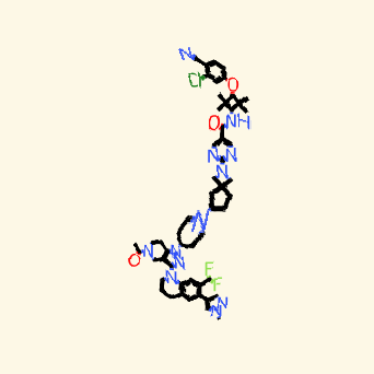 CC(=O)N1CCc2c(c(N3CCCc4cc(-c5cnn(C)c5)c(C(F)F)cc43)nn2C2CCN(C3CCC4(C3)CN(c3ncc(C(=O)NC5C(C)(C)C(Oc6ccc(C#N)c(Cl)c6)C5(C)C)cn3)C4)CC2)C1